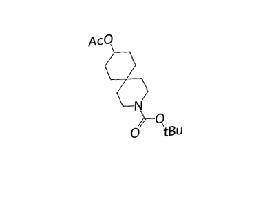 CC(=O)OC1CCC2(CC1)CCN(C(=O)OC(C)(C)C)CC2